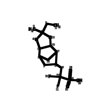 CCC1(C)OC2C3CC(CC(F)(F)S(=O)(=O)O)C(C3)C2O1